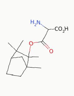 CC12CCC(C1)C(C)(C)C2(C)OC(=O)C(N)C(=O)O